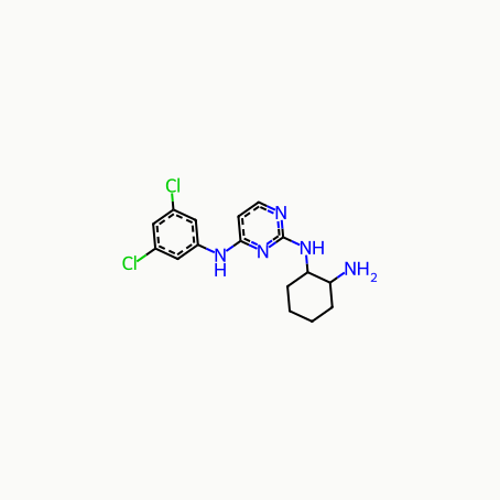 NC1CCCCC1Nc1nccc(Nc2cc(Cl)cc(Cl)c2)n1